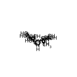 Cc1cc(CN2CCNCCN(Cc3cc(C)cc(C(=O)NC(CO)CO)c3O)CC2)c(O)c(C(=O)NC(CO)CO)c1